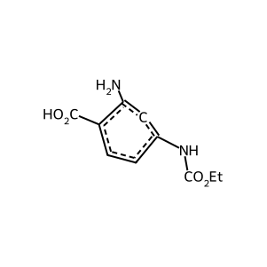 CCOC(=O)Nc1ccc(C(=O)O)c(N)c1